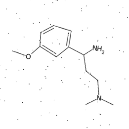 COc1cccc(C(N)CCN(C)C)c1